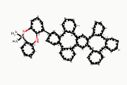 C[Si]1(C)Oc2cccc(-c3ccc4c5ccccc5c5cc6c7ccccc7c7ccccc7c7ccccc7c6cc5c5ccccc5c4c3)c2Oc2ccccc21